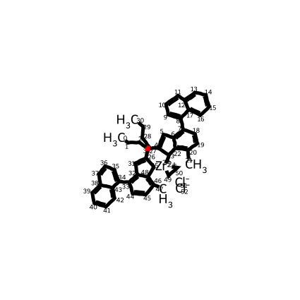 CCCCC1=Cc2c(-c3cccc4ccccc34)ccc(C)c2[CH]1[Zr+2]1([CH]2C(CCCC)=Cc3c(-c4cccc5ccccc45)ccc(C)c32)[CH2][CH2]1.[Cl-].[Cl-]